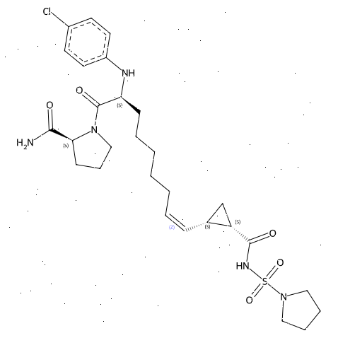 NC(=O)[C@@H]1CCCN1C(=O)[C@H](CCCCC/C=C\[C@@H]1C[C@@H]1C(=O)NS(=O)(=O)N1CCCC1)Nc1ccc(Cl)cc1